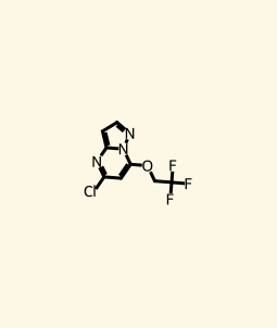 FC(F)(F)COc1cc(Cl)nc2ccnn12